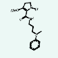 CCN1CCC(OC)=C1C(=O)NCCCN(C)c1ccccc1